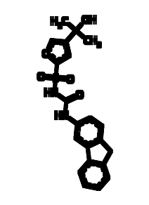 CC(C)(O)c1coc(S(=O)(=O)NC(=O)Nc2ccc3c(c2)-c2ccccc2C3)c1